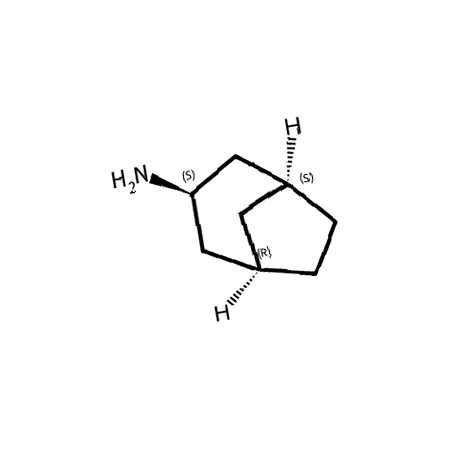 N[C@H]1C[C@H]2CC[C@@H](C1)C2